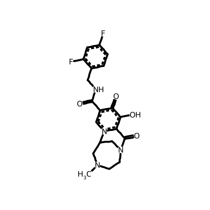 CN1CCN2CC(C1)n1cc(C(=O)NCc3ccc(F)cc3F)c(=O)c(O)c1C2=O